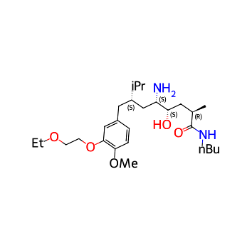 CCCCNC(=O)[C@H](C)C[C@H](O)[C@@H](N)C[C@H](Cc1ccc(OC)c(OCCOCC)c1)C(C)C